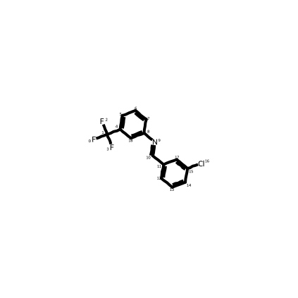 FC(F)(F)c1cccc(N=Cc2cccc(Cl)c2)c1